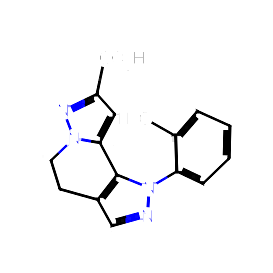 Cc1ccccc1-n1ncc2c1-c1cc(C(=O)O)nn1CC2